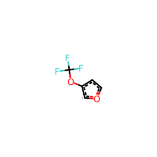 FC(F)(F)Oc1[c]occ1